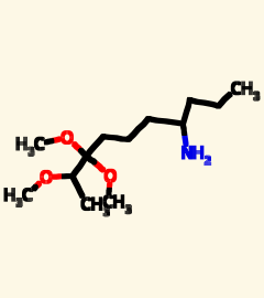 CCCC(N)CCCC(OC)(OC)C(C)OC